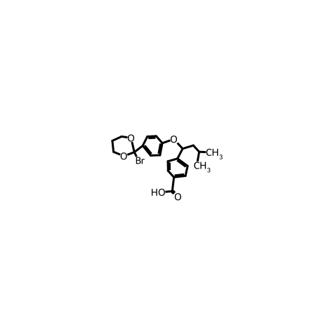 CC(C)CC(Oc1ccc(C2(Br)OCCCO2)cc1)c1ccc(C(=O)O)cc1